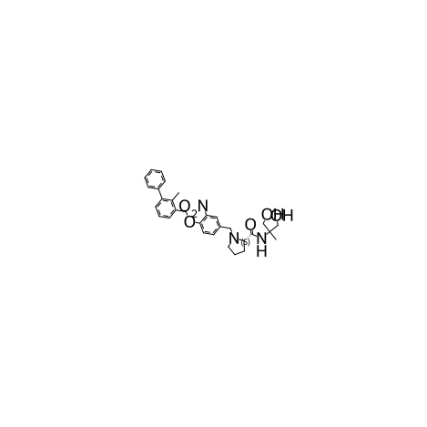 Cc1c(COc2ccc(CN3CCC[C@H]3C(=O)NC(C)(CO)CO)cc2[N+](=O)[O-])cccc1-c1ccccc1